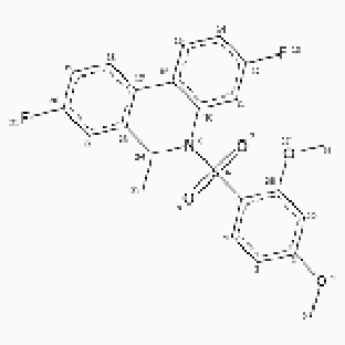 COc1ccc(S(=O)(=O)N2c3cc(F)ccc3-c3ccc(F)cc3C2C)c(OC)c1